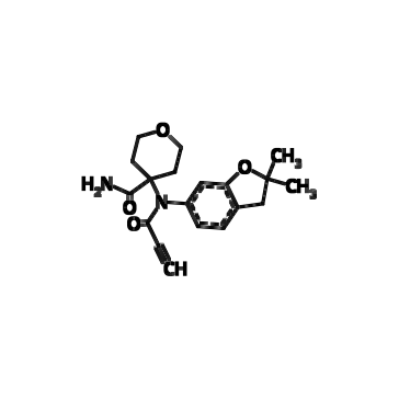 C#CC(=O)N(c1ccc2c(c1)OC(C)(C)C2)C1(C(N)=O)CCOCC1